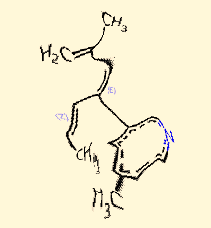 C=C(C)/C=C(\C=C/C)c1cncc(C)c1